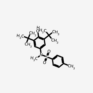 Cc1ccc(S(=O)(=O)N(C)c2cc(C(C)(C)C)c(O)c(C(C)(C)C)c2)cc1